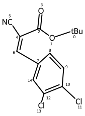 CC(C)(C)OC(=O)C(C#N)=Cc1ccc(Cl)c(Cl)c1